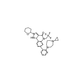 O=C1C2=CN(C3CCCCO3)NC2c2ccc(-c3cccnc3N3CCCN(C4CC4)CC3)cc2N1CC(F)(F)F